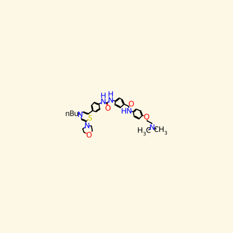 CCCCN1C=C(c2ccc(NC(=O)Nc3ccc(C(=O)Nc4ccc(OCCN(C)C)cc4)cc3)cc2)SC(N2CCOCC2)=C1